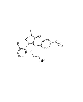 CC1CC(c2c(F)cccc2OCCO)N(Cc2ccc(OC(F)(F)F)cc2)C1=O